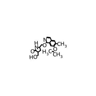 Cc1cc2ccnc(OCC3CC(CO)C(=O)N3)c2cc1OC(C)C